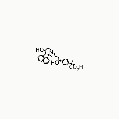 CC(C)(C(=O)O)c1ccc([C@H](O)CCCN2CCC(O)C(c3ccccc3)C2(C)c2ccccc2)cc1